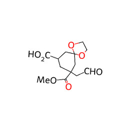 COC(=O)C1(CC=O)CC(C(=O)O)CC2(C1)OCCO2